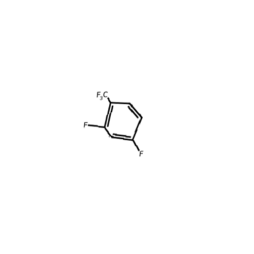 Fc1[c]c(F)c(C(F)(F)F)cc1